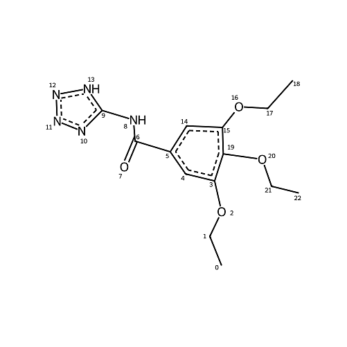 CCOc1cc(C(=O)Nc2nnn[nH]2)cc(OCC)c1OCC